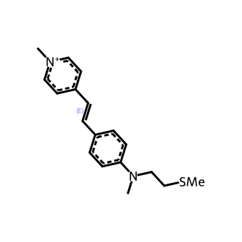 CSCCN(C)c1ccc(/C=C/c2cc[n+](C)cc2)cc1